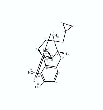 C[N+]1(CC2CC2)CC[C@]23CC(=O)CC[C@@]2(O)[C@H]1Cc1ccc(O)c(O)c13